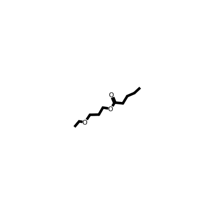 CCCCC(=O)OCCCOCC